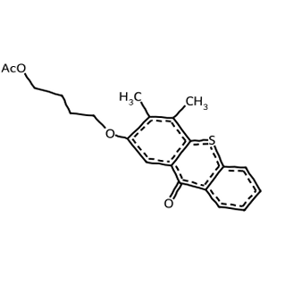 CC(=O)OCCCCOc1cc2c(=O)c3ccccc3sc2c(C)c1C